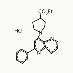 CCOC(=O)C1CCN(c2cc(-c3ccccc3)nc3cccnc23)CC1.Cl